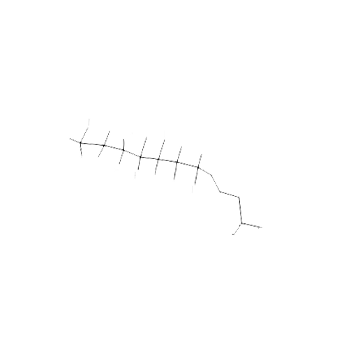 CCC(I)CCCC(F)(F)C(F)(F)C(F)(F)C(F)(F)C(F)(F)C(F)(F)C(F)(F)C(F)(F)F